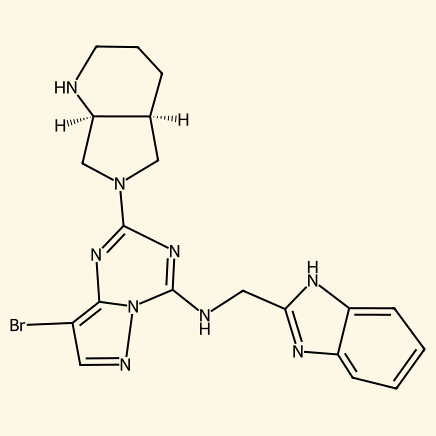 Brc1cnn2c(NCc3nc4ccccc4[nH]3)nc(N3C[C@@H]4CCCN[C@@H]4C3)nc12